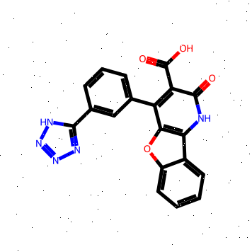 O=C(O)c1c(-c2cccc(-c3nnn[nH]3)c2)c2oc3ccccc3c2[nH]c1=O